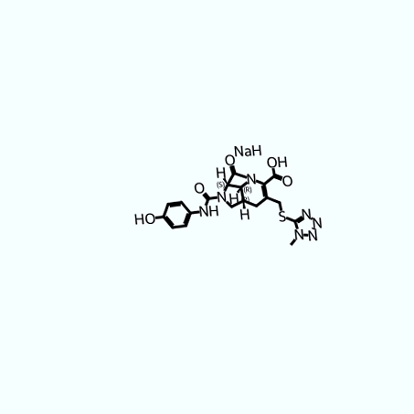 Cn1nnnc1SCC1=C(C(=O)O)N2C(=O)[C@@H]3[C@H]2[C@H](C1)CN3C(=O)Nc1ccc(O)cc1.[NaH]